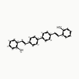 Sc1ccccc1/C=C/c1ccc(-c2ccc(/C=C/c3ccccc3S)cc2)cc1